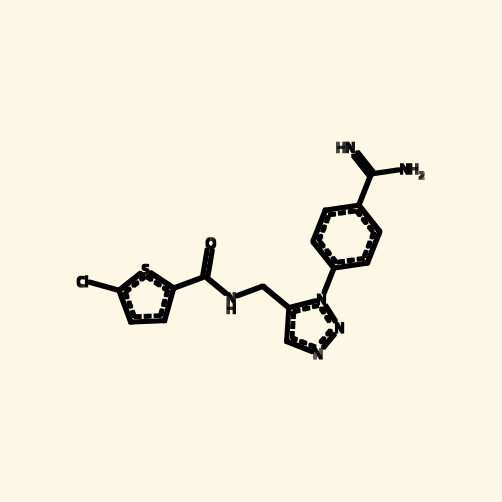 N=C(N)c1ccc(-n2nncc2CNC(=O)c2ccc(Cl)s2)cc1